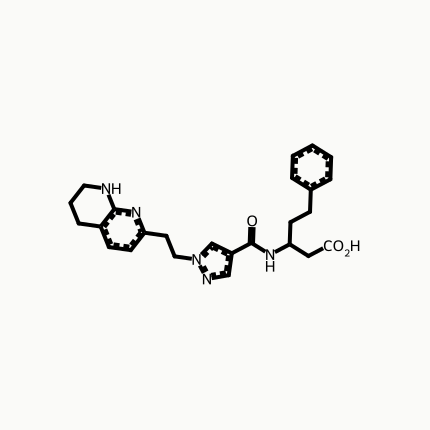 O=C(O)CC(CCc1ccccc1)NC(=O)c1cnn(CCc2ccc3c(n2)NCCC3)c1